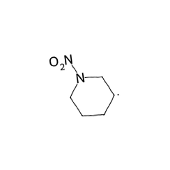 O=[N+]([O-])N1C[CH]CCC1